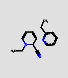 CCN1C=CC=CC1C#N.CCc1ccccn1